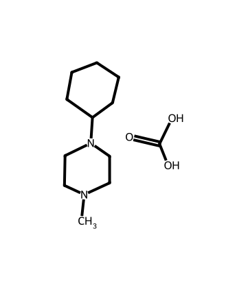 CN1CCN(C2CCCCC2)CC1.O=C(O)O